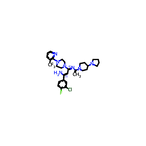 C=C(/N=C(\C=C(/N)c1ccc(F)c(Cl)c1)N1CCN(c2ncccc2C(F)(F)F)CC1)N1CCC(N2CCCC2)CC1